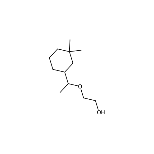 CC(OCCO)C1CCCC(C)(C)C1